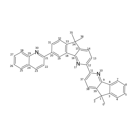 CC1(C)c2ccccc2-c2nc(-c3ccc4c(n3)-c3cc(-c5ccc6ccccc6n5)ccc3C4(C)C)ccc21